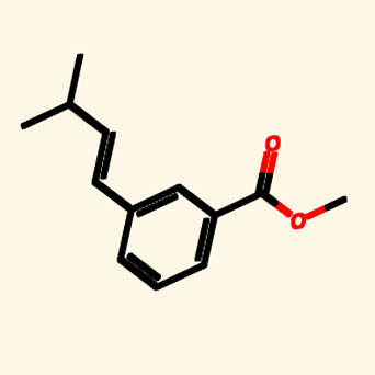 COC(=O)c1cccc(C=CC(C)C)c1